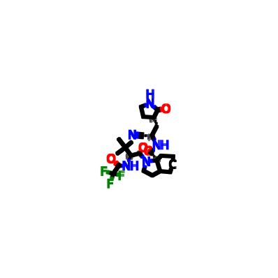 CC(C)(C)[C@H](NC(=O)C(F)(F)F)C(=O)N1CCC2CCCC[C@@]21C(=O)N[C@H](C#N)C[C@@H]1CCNC1=O